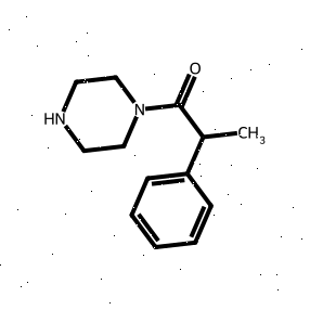 CC(C(=O)N1CCNCC1)c1ccccc1